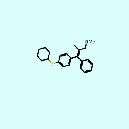 CNCC(C)=C(c1ccccc1)c1ccc(SC2CCCCC2)cc1